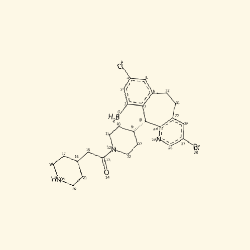 Bc1cc(Cl)cc2c1[C@@H](C1CCN(C(=O)CC3CCNCC3)CC1)c1ncc(Br)cc1CC2